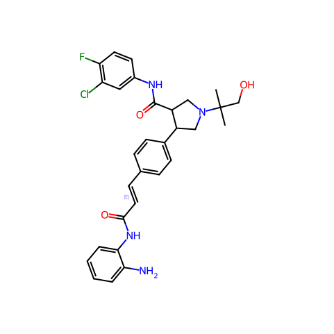 CC(C)(CO)N1CC(C(=O)Nc2ccc(F)c(Cl)c2)C(c2ccc(/C=C/C(=O)Nc3ccccc3N)cc2)C1